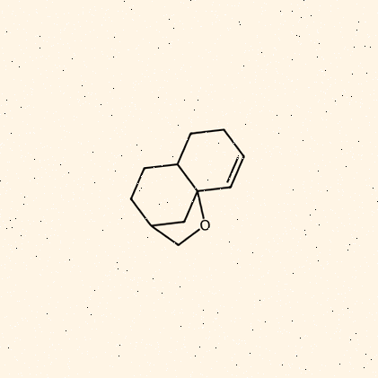 C1=CC23CC(CCC2CC1)CO3